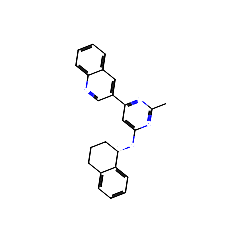 Cc1nc(N[C@@H]2CCCc3ccccc32)cc(-c2cnc3ccccc3c2)n1